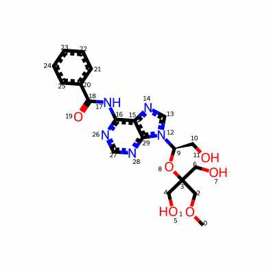 COCC(CO)(CO)O[C@H](CO)n1cnc2c(NC(=O)c3ccccc3)ncnc21